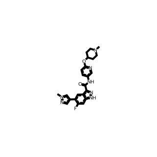 CN1CCC(Oc2ccc(NC(=O)c3n[nH]c4cc(F)c(-c5cnn(C)c5)cc34)cn2)CC1